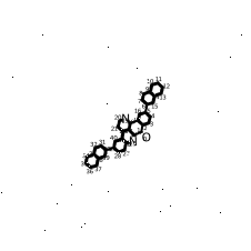 O=C1c2ccc(-c3ccc4ccccc4c3)cc2-c2nccc3c2c1nc1ccc(-c2ccc4ccccc4c2)cc13